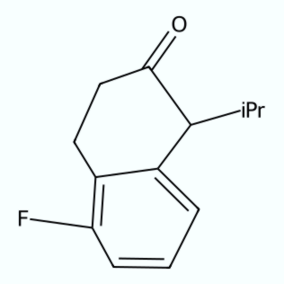 CC(C)C1C(=O)CCc2c(F)cccc21